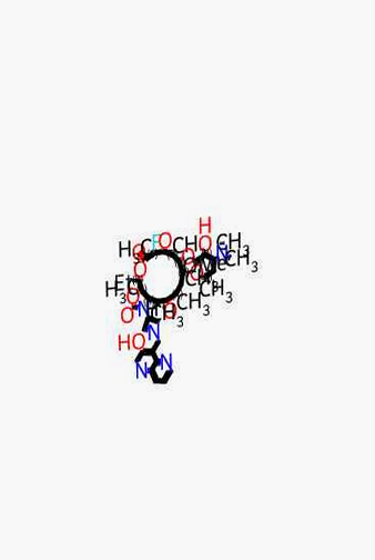 CC[C@H]1OC(=O)[C@@](C)(F)C(=O)[C@H](C)[C@@H](O[C@@H]2O[C@H](C)C[C@H](N(C)C)[C@H]2O)[C@](C)(OC)C[C@@H](C)C(=O)[C@H](C)[C@H]2N(C3CN(Cc4c(O)cnc5cccnc45)C3)C(=O)O[C@]12C